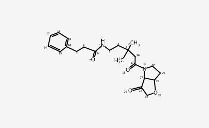 CC(C)(CCNC(=O)CCc1ccccc1)CC(=O)N1CCC2OCC(=O)C21